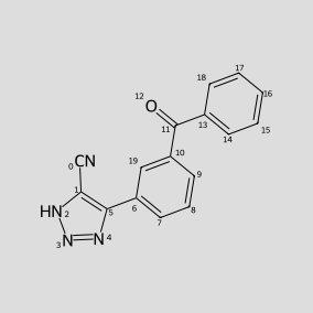 N#Cc1[nH]nnc1-c1cccc(C(=O)c2ccccc2)c1